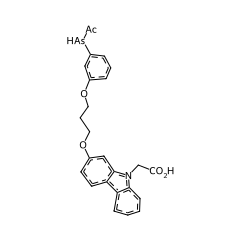 CC(=O)[AsH]c1cccc(OCCCOc2ccc3c4ccccc4n(CC(=O)O)c3c2)c1